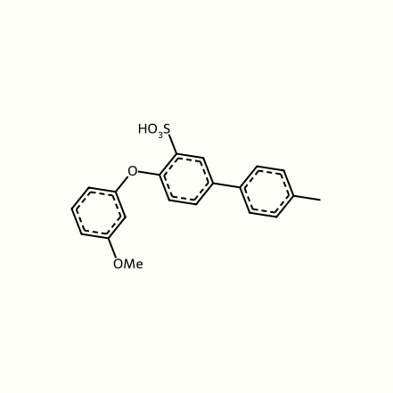 COc1cccc(Oc2ccc(-c3ccc(C)cc3)cc2S(=O)(=O)O)c1